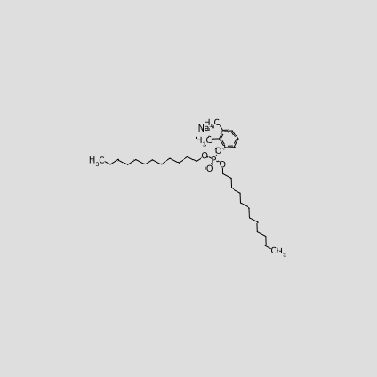 CCCCCCCCCCCCOP(=O)([O-])OCCCCCCCCCCCC.Cc1ccccc1C.[Na+]